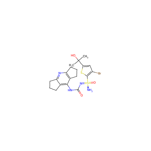 CC(C)(O)c1cc(Br)c([S@](N)(=O)=NC(=O)Nc2c3c(nc4c2CCC4)CCC3)s1